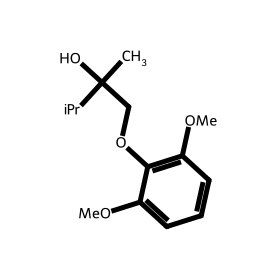 COc1cccc(OC)c1OCC(C)(O)C(C)C